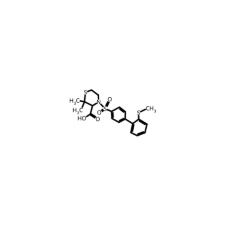 CSc1ccccc1-c1ccc(S(=O)(=O)N2CCSC(C)(C)C2C(=O)O)cc1